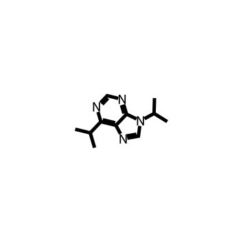 CC(C)c1ncnc2c1ncn2C(C)C